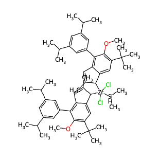 COc1c(C(C)(C)C)cc2c(c1-c1cc(C(C)C)cc(C(C)C)c1)C=C(C)[CH]2[Zr]([Cl])([Cl])([CH]1C(C)=Cc2c1cc(C(C)(C)C)c(OC)c2-c1cc(C(C)C)cc(C(C)C)c1)[SiH](C)C